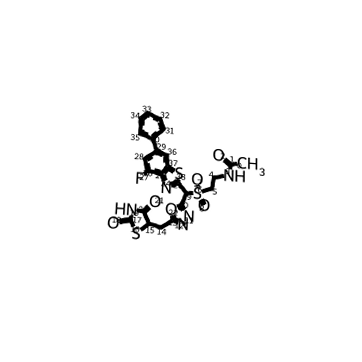 CC(=O)NCCS(=O)(=O)C(c1nnc(CC2SC(=O)NC2=O)o1)c1nc2c(F)cc(-c3ccccc3)cc2s1